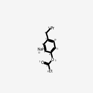 CCC(=O)Oc1ccc(CC(C)C)cc1.[NaH]